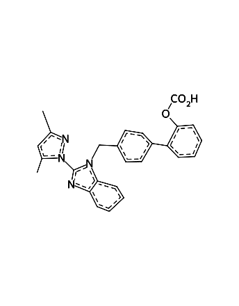 Cc1cc(C)n(-c2nc3ccccc3n2Cc2ccc(-c3ccccc3OC(=O)O)cc2)n1